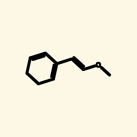 CO/C=C/C1=CCCC=C1